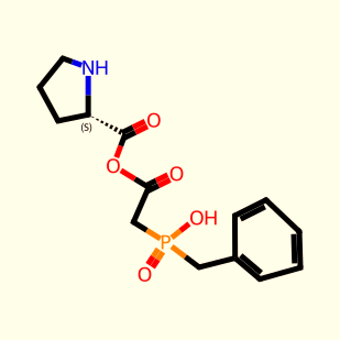 O=C(CP(=O)(O)Cc1ccccc1)OC(=O)[C@@H]1CCCN1